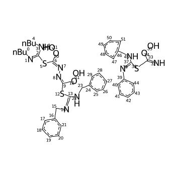 CCCCN=C(NCCCC)SC(=NN=C(OO)SC(=NCc1ccccc1)NCc1ccccc1)OO.N=C(OO)SC(=Nc1ccccc1)Nc1ccccc1